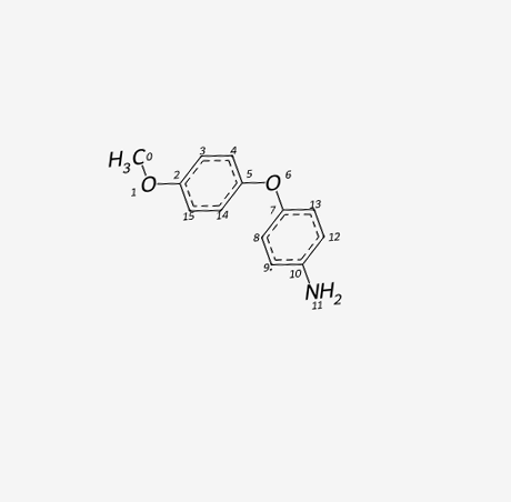 COc1ccc(Oc2c[c]c(N)cc2)cc1